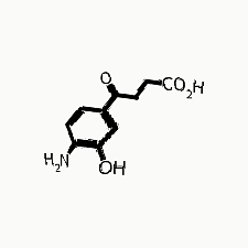 Nc1ccc(C(=O)CCC(=O)O)cc1O